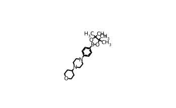 CC1(C)OB(c2ccc(N3CCN(C4CCOCC4)CC3)cc2)OC1(C)C